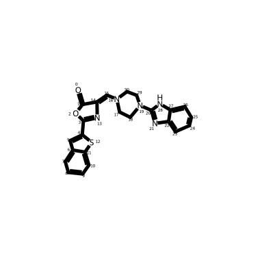 O=C1OC(c2cc3ccccc3s2)=NC1=CN1CCN(c2nc3ccccc3[nH]2)CC1